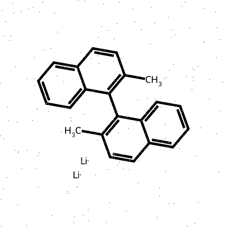 Cc1ccc2ccccc2c1-c1c(C)ccc2ccccc12.[Li].[Li]